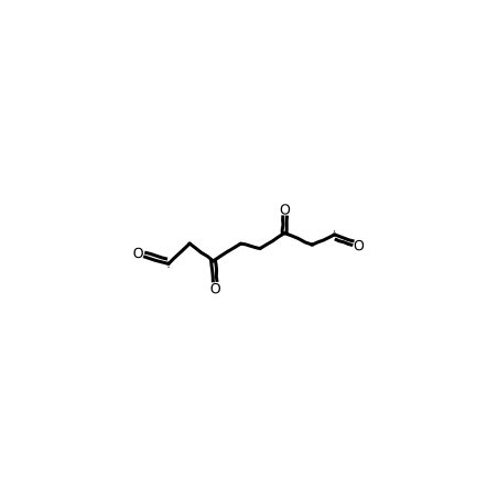 O=[C]CC(=O)CCC(=O)C[C]=O